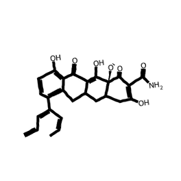 C=C/C=C(\C=C/C)c1ccc(O)c2c1CC1CC3CC(O)=C(C(N)=O)C(=O)[C@@]3(OC)C(O)=C1C2=O